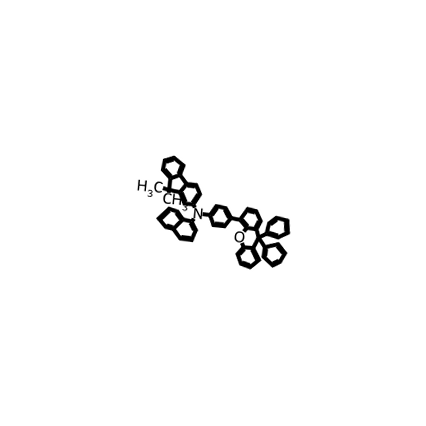 CC1(C)c2ccccc2-c2ccc(N(c3ccc(-c4cccc5c4Oc4ccccc4C5(c4ccccc4)c4ccccc4)cc3)c3cccc4ccccc34)cc21